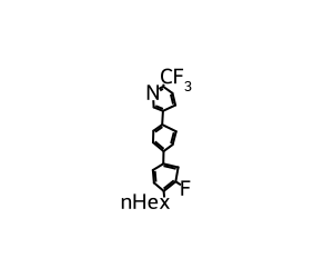 CCCCCCc1ccc(-c2ccc(-c3ccc(C(F)(F)F)nc3)cc2)cc1F